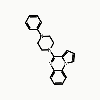 c1ccc(N2CCN(c3nc4ccccc4n4cccc34)CC2)cc1